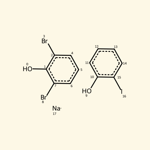 Oc1c(Br)cccc1Br.Oc1ccccc1I.[Na]